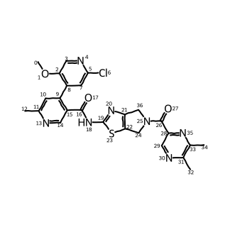 COc1cnc(Cl)cc1-c1cc(C)ncc1C(=O)Nc1nc2c(s1)CN(C(=O)c1cnc(C)c(C)n1)C2